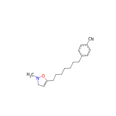 CN1CC=C(CCCCCCCc2ccc(C#N)cc2)O1